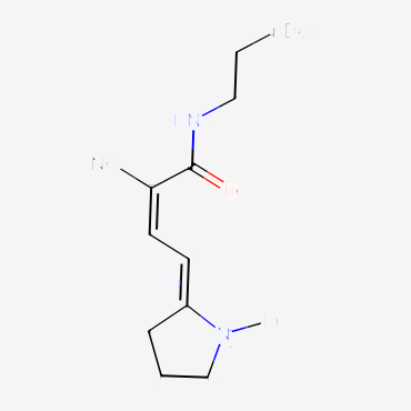 CCCCCCCCCCCCNC(=O)C(C#N)=C/C=C1\CCCN1CC